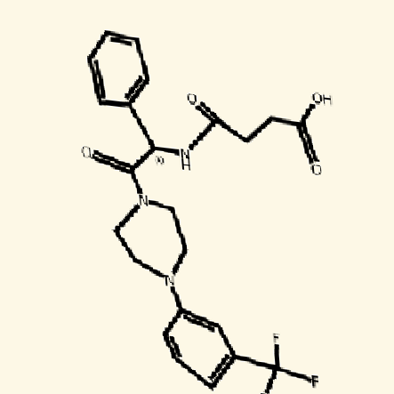 O=C(O)CCC(=O)N[C@@H](C(=O)N1CCN(c2cccc(C(F)(F)F)c2)CC1)c1ccccc1